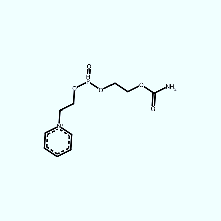 NC(=O)OCCO[PH](=O)OCC[n+]1ccccc1